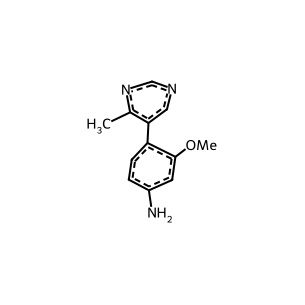 COc1cc(N)ccc1-c1cncnc1C